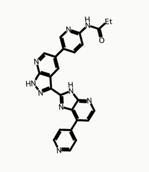 CCC(=O)Nc1ccc(-c2cnc3[nH]nc(-c4nc5c(-c6ccncc6)ccnc5[nH]4)c3c2)cn1